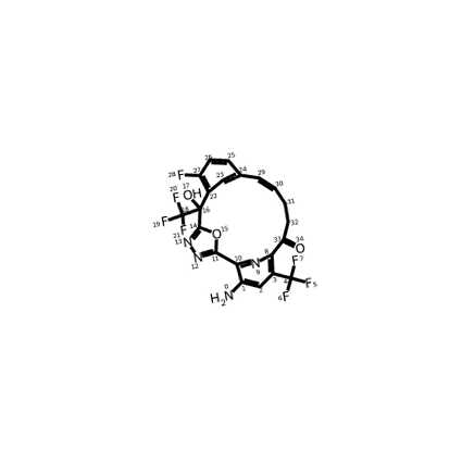 Nc1cc(C(F)(F)F)c2nc1-c1nnc(o1)C(O)(C(F)(F)F)c1cc(ccc1F)C=CCCC2=O